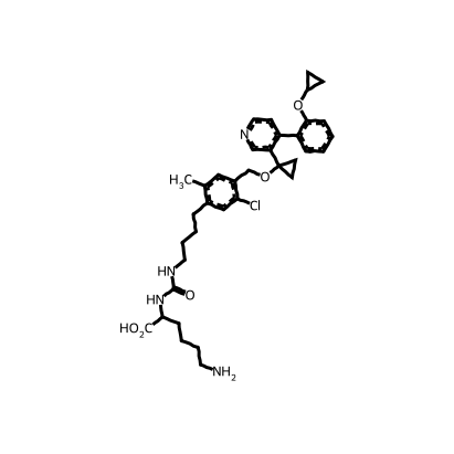 Cc1cc(COC2(c3cnccc3-c3ccccc3OC3CC3)CC2)c(Cl)cc1CCCCNC(=O)NC(CCCCN)C(=O)O